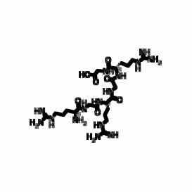 N=C(N)NCCC[C@H](NC(=O)CNC(=O)[C@H](CCCNC(=N)N)NC(=O)CNC(=O)[C@@H](N)CCCNC(=N)N)C(=O)NCC(=O)O